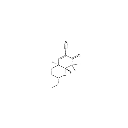 CC[C@@H]1CC[C@@]2(C)C=C(C#N)C(=O)C(C)(C)[C@@H]2O1